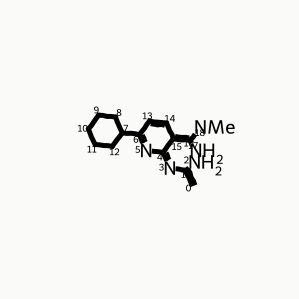 C=C(N)/N=C1/N=C(C2CCCCC2)C=C/C1=C(/N)NC